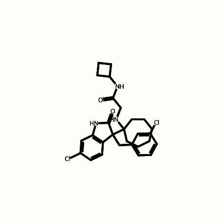 O=C(CNC1(C2(Cc3cccc(Cl)c3)C(=O)Nc3cc(Cl)ccc32)CCCCCC1)NC1CCC1